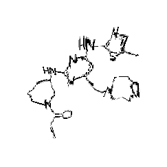 C=CC(=O)N1CCCC(Nc2nc(CN3CCOCC3)cc(Nc3ncc(C)s3)n2)C1